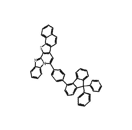 c1ccc(C2(c3ccccc3)c3ccccc3-c3c(-c4ccc(-c5cc6c7ccc8ccccc8c7sc6c6nc7ccccc7n56)cc4)cccc32)cc1